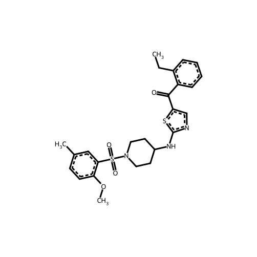 CCc1ccccc1C(=O)c1cnc(NC2CCN(S(=O)(=O)c3cc(C)ccc3OC)CC2)s1